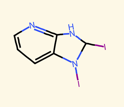 IC1Nc2ncccc2N1I